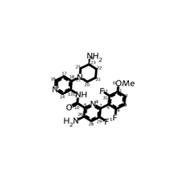 COc1ccc(F)c(-c2nc(C(=O)Nc3cnccc3N3CCC[C@H](N)C3)c(N)cc2F)c1F